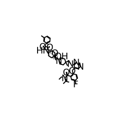 CCN(C(=O)c1cc(F)ccc1Oc1cncnc1N1CC2(CCN(C[C@@]3(O)CC[C@@H](NS(=O)(=O)c4cccc(C)c4)CO3)CC2)C1)C(C)C